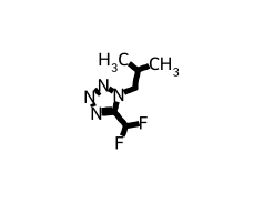 CC(C)Cn1nnnc1C(F)F